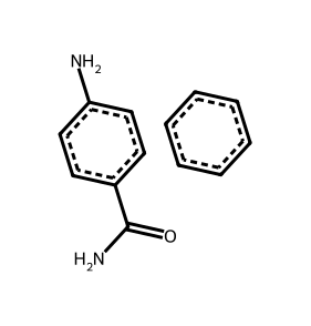 NC(=O)c1ccc(N)cc1.c1ccccc1